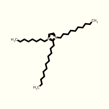 CCCCCCCCCCCCc1n(CCCCCCCCCC)cc[n+]1CCCCCCCC